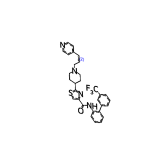 O=C(Nc1ccccc1-c1cccc(C(F)(F)F)c1)c1csc(C2CCN(C/C=C\c3ccncc3)CC2)n1